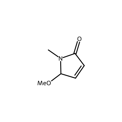 COC1C=CC(=O)N1C